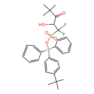 CC(C)(C)C(=O)C(O)C(F)(F)S(=O)(=O)OS(c1ccccc1)(c1ccccc1)c1ccc(C(C)(C)C)cc1